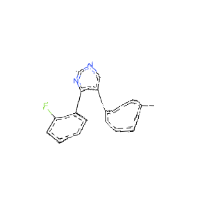 Cc1cccc(-c2cn[c]nc2-c2ccccc2F)c1